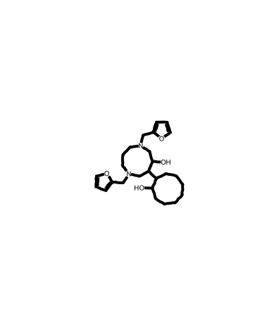 OC1CCCCCCCC1C1CN(Cc2ccco2)CCCN(Cc2ccco2)CC1O